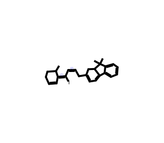 CC1CCC=C/C1=C(I)/C=C\CC1=CC=C2c3ccccc3C(C)(C)C2C1